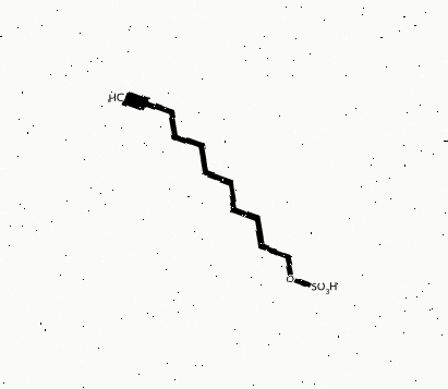 C#CCCCCCCCCCOS(=O)(=O)O